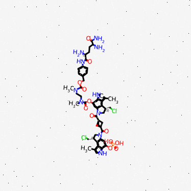 Cc1c[nH]c2c(OC(=O)N(C)CCN(C)C(=O)OCc3ccc(NC(=O)[C@@H](N)CCC(N)C(N)=O)cc3)cc3c(c12)[C@H](CCl)CN3C(=O)C12CC(C(=O)N3C[C@@H](CCl)c4c3cc(OP(=O)(O)O)c3[nH]cc(C)c43)(C1)C2